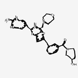 Nc1ncc(-c2nc(N3CCOCC3)c3sc(-c4cccc(C(=O)N5CCC(O)C5)c4)cc3n2)cn1